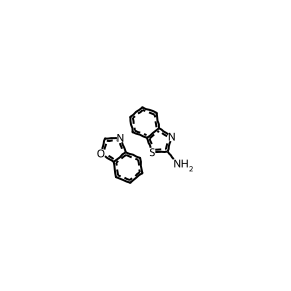 Nc1nc2ccccc2s1.c1ccc2ocnc2c1